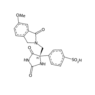 COc1ccc2c(c1)C(=O)N(C[C@@]1(c3ccc(S(=O)(=O)O)cc3)NC(=O)NC1=O)C2